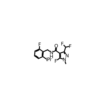 CC(C)c1cccc(F)c1CNC(=O)c1c(C(F)F)nn(C)c1F